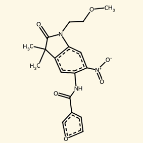 COCCN1C(=O)C(C)(C)c2cc(NC(=O)c3ccoc3)c([N+](=O)[O-])cc21